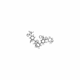 CN(C)C(=O)c1ccc(-c2cc3nccc(-c4ccc(OC5CCOCC5)c(C#N)c4)c3o2)c(F)c1